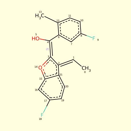 CC=c1/c(=C(/O)c2cc(F)ccc2C)oc2cc(F)ccc12